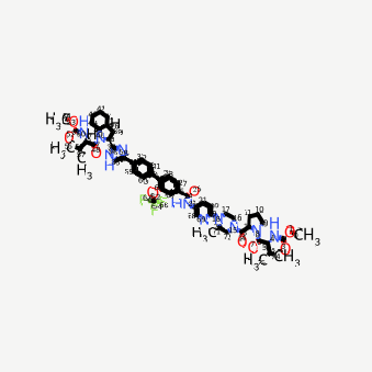 COC(=O)N[C@H](C(=O)N1CCCC1C(=O)N1CCN(c2ccc(NC(=O)c3ccc(-c4ccc(-c5c[nH]c([C@@H]6C[C@@H]7CCCC[C@@H]7N6C(=O)[C@@H](NC(=O)OC)C(C)C)n5)cc4)c(OC(F)(F)F)c3)cn2)[C@H](C)C1)C(C)C